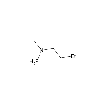 CCCCN(C)P